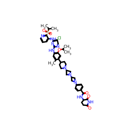 Cc1cc(Nc2ncc(Cl)c(Nc3cccnc3S(=O)(=O)C(C)C)n2)c(OC(C)C)cc1C1CCN(C2CN(C3CN(c4ccc(C(=O)NC5CCC(=O)NC5=O)cc4)C3)C2)CC1